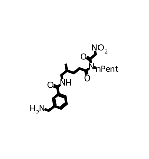 CCCCCN(C(=O)CCC(C)CNC(=O)c1cccc(CN)c1)C(=O)C[N+](=O)[O-]